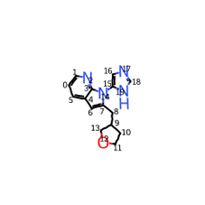 c1cnc2c(c1)cc(CC1CCOC1)n2-c1cnc[nH]1